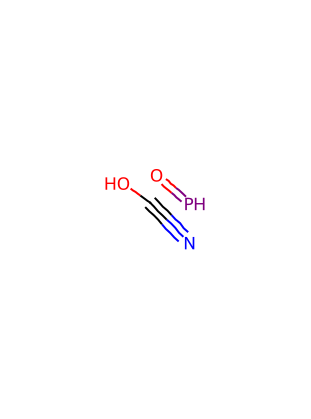 N#CO.O=P